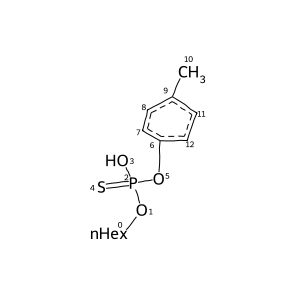 CCCCCCOP(O)(=S)Oc1ccc(C)cc1